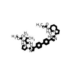 COC(=O)N[C@H]1CCCC2CC[C@@H](c3ncc(-c4ccc(-c5ccc(-c6cnc([C@@H]7CCCN7C(=O)[C@@H](NC(=O)OC)C(C)C)[nH]6)cc5)cc4)[nH]3)N2C1=O